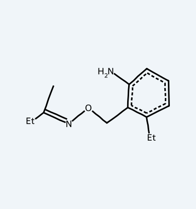 CCC(C)=NOCc1c(N)cccc1CC